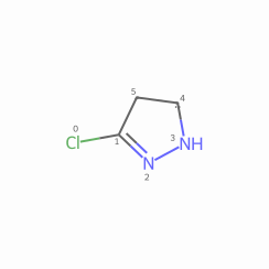 ClC1=NN[C]C1